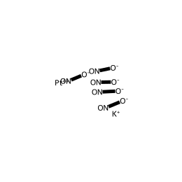 O=N[O-].O=N[O-].O=N[O-].O=N[O-].O=N[O-].[K+].[Pt+4]